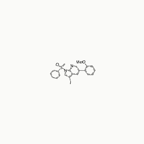 C=S(=O)(c1ccccc1)n1cc(I)c2cc(-c3ccccc3OC)cnc21